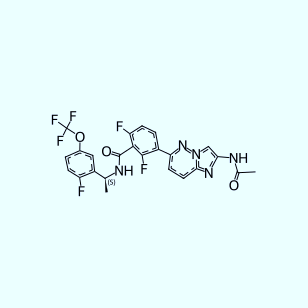 CC(=O)Nc1cn2nc(-c3ccc(F)c(C(=O)N[C@@H](C)c4cc(OC(F)(F)F)ccc4F)c3F)ccc2n1